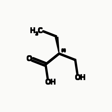 CC[C@H](CO)C(=O)O